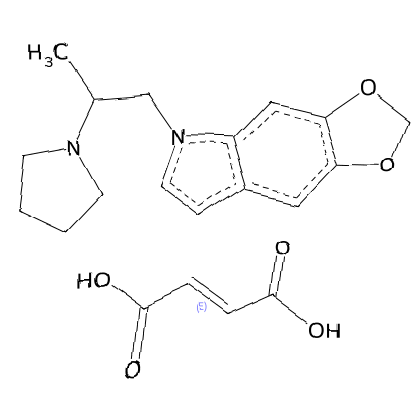 CC(Cn1ccc2cc3c(cc21)OCO3)N1CCCC1.O=C(O)/C=C/C(=O)O